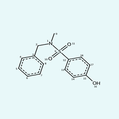 CN(Cc1ccccc1)S(=O)(=O)c1ccc(O)cc1